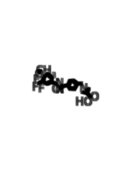 COc1ccc(-c2nc(-c3ccc(CN4CC(C(=O)O)C4)cc3)no2)cc1C(F)(F)F